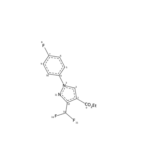 CCOC(=O)c1cn(-c2ccc(F)cc2)nc1C(F)F